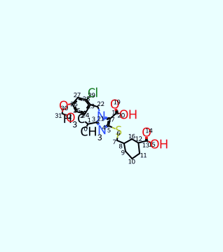 CC(C)c1nc(SCC2CCCC(C(=O)O)C2)c(C(=O)O)n1Cc1cc2c(cc1Cl)OCO2